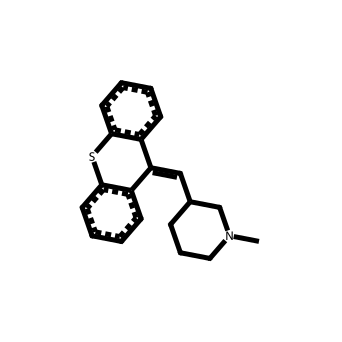 CN1CCCC(C=C2c3ccccc3Sc3ccccc32)C1